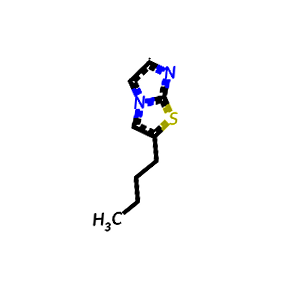 CCCCc1cn2c[c]nc2s1